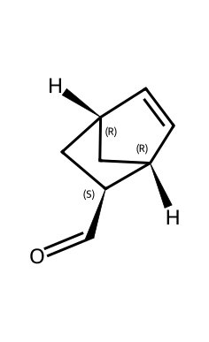 O=C[C@H]1C[C@@H]2C=C[C@H]1C2